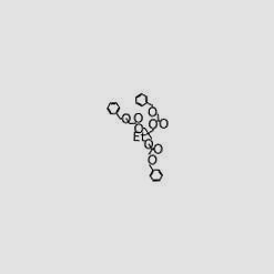 CCC(COC(=O)COCc1ccccc1)(COC(=O)COCc1ccccc1)COC(=O)COCc1ccccc1